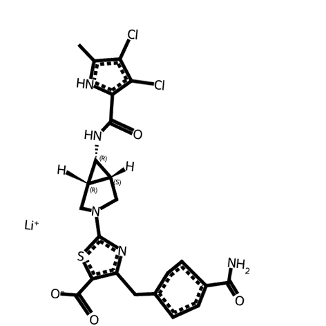 Cc1[nH]c(C(=O)N[C@@H]2[C@@H]3CN(c4nc(Cc5ccc(C(N)=O)cc5)c(C(=O)[O-])s4)C[C@@H]32)c(Cl)c1Cl.[Li+]